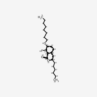 CCCCCCCCOc1ccc2cc(CCCCCC)oc(=O)c2c1F